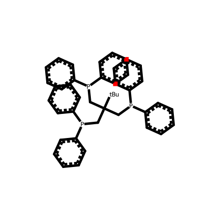 CC(C)(C)C(CP(c1ccccc1)c1ccccc1)(CP(c1ccccc1)c1ccccc1)CP(c1ccccc1)c1ccccc1